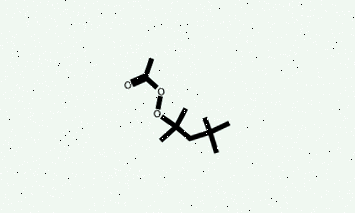 CC(=O)OOC(C)(C)CC(C)(C)C